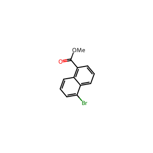 COC(=O)c1cccc2c(Br)cccc12